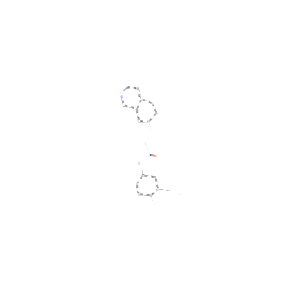 O=C(COc1ccc2ccncc2c1)Nc1ccc(Cl)c(C(F)(F)F)c1